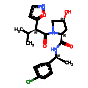 CC(C)[C@@H](C(=O)N1C[C@H](O)C[C@H]1C(=O)N[C@@H](C)c1ccc(Cl)cc1)c1ccno1